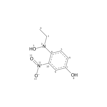 CCN(O)c1ccc(O)cc1[N+](=O)[O-]